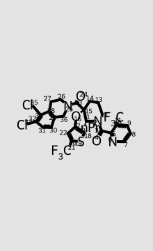 CCC[C@H]1N(C(=O)c2ncccc2C(F)(F)F)CCC[C@@]1(Oc1csc(C(F)(F)F)c1)C(=O)N1CCc2c(ccc(Cl)c2Cl)C1